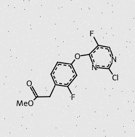 COC(=O)Cc1ccc(Oc2nc(Cl)ncc2F)cc1F